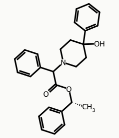 C[C@@H](OC(=O)C(c1ccccc1)N1CCC(O)(c2ccccc2)CC1)c1ccccc1